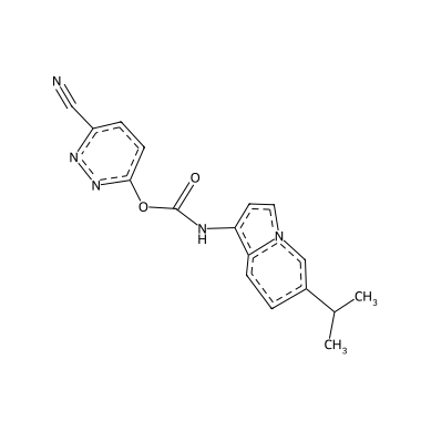 CC(C)c1ccc2c(NC(=O)Oc3ccc(C#N)nn3)ccn2c1